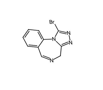 Brc1nnc2n1-c1ccccc1C=NC2